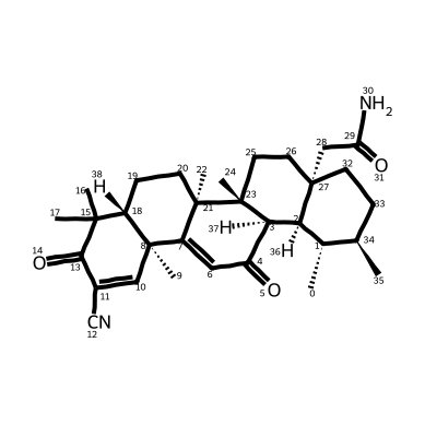 C[C@@H]1[C@H]2[C@H]3C(=O)C=C4[C@@]5(C)C=C(C#N)C(=O)C(C)(C)[C@@H]5CC[C@@]4(C)[C@]3(C)CC[C@@]2(CC(N)=O)CC[C@H]1C